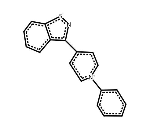 c1ccc(-[n+]2ccc(-c3nsc4ccccc34)cc2)cc1